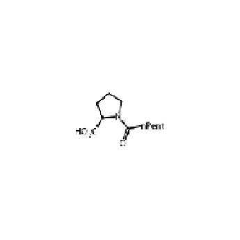 CCCCCC(=O)N1CCC[C@@H]1C(=O)O